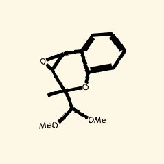 COC(OC)C1(C)Oc2ccccc2C2OC21